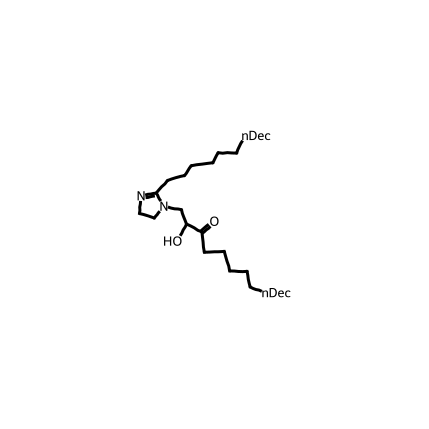 CCCCCCCCCCCCCCCCC1=NCCN1CC(O)C(=O)CCCCCCCCCCCCCCC